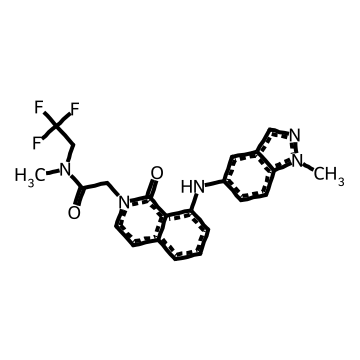 CN(CC(F)(F)F)C(=O)Cn1ccc2cccc(Nc3ccc4c(cnn4C)c3)c2c1=O